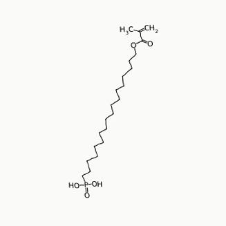 C=C(C)C(=O)OCCCCCCCCCCCCCCCCCCP(=O)(O)O